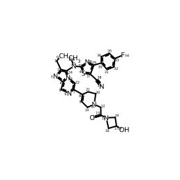 CCc1nc2cnc(C3=CCN(CC(=O)N4CC(O)C4)CC3)cn2c1N(C)c1nc(-c2ccc(F)cc2)c(C#N)s1